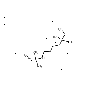 CCC(C)(C)NCCCNC(C)(C)CC